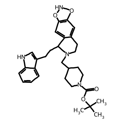 CC(C)(C)OC(=O)N1CCC(CN2CCc3cc4c(cc3C2CCc2c[nH]c3ccccc23)ONO4)CC1